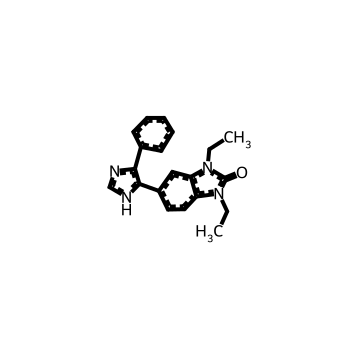 CCn1c(=O)n(CC)c2cc(-c3[nH]cnc3-c3ccccc3)ccc21